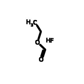 CCOC=O.F